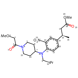 COCC(=O)N1CCC(N(CC(C)C)c2ccc([C@H](C)CC(=O)OC)cc2[N+](=O)[O-])CC1